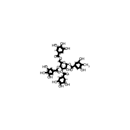 Cc1c(O)cc(C(=O)O[C@@H]2OC(COC(=O)c3cc(O)c(O)c(O)c3)[C@@H](OC(=O)c3cc(O)c(O)c(O)c3)[C@H](OC(=O)c3cc(O)c(O)c(O)c3)C2O)cc1O